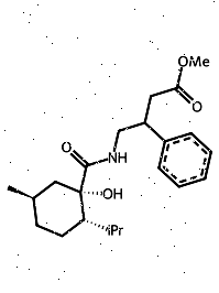 COC(=O)CC(CNC(=O)[C@]1(O)C[C@H](C)CC[C@H]1C(C)C)c1ccccc1